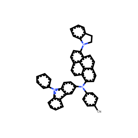 N#Cc1ccc(N(c2ccc3c(c2)c2ccccc2n3-c2ccccc2)c2ccc3ccc4c(N5CCc6ccccc65)ccc5ccc2c3c54)cc1